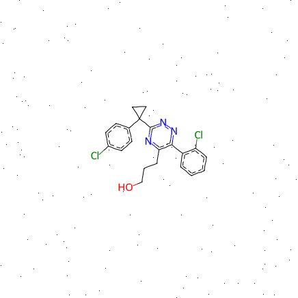 OCCCc1nc(C2(c3ccc(Cl)cc3)CC2)nnc1-c1ccccc1Cl